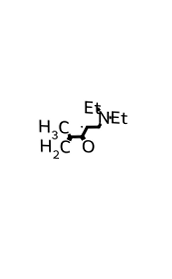 C=C(C)C(=O)[CH]CN(CC)CC